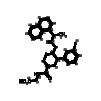 C[C@@H](NCC1CCN(C(=O)NCC(=O)O)CC1c1cccc(F)c1)c1cccc2ccccc12